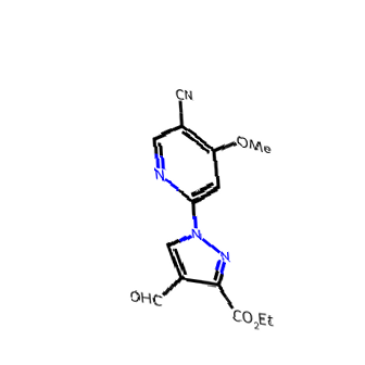 CCOC(=O)c1nn(-c2cc(OC)c(C#N)cn2)cc1C=O